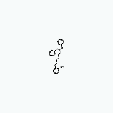 Oc1ccccc1CCCCCCC(Oc1ccccc1)Oc1ccccc1